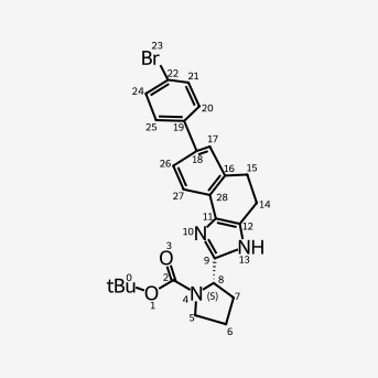 CC(C)(C)OC(=O)N1CCC[C@H]1c1nc2c([nH]1)CCc1cc(-c3ccc(Br)cc3)ccc1-2